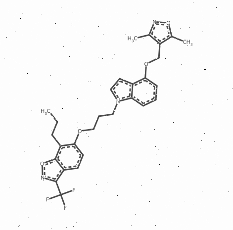 CCCc1c(OCCCn2ccc3c(OCc4c(C)noc4C)cccc32)ccc2c(C(F)(F)F)noc12